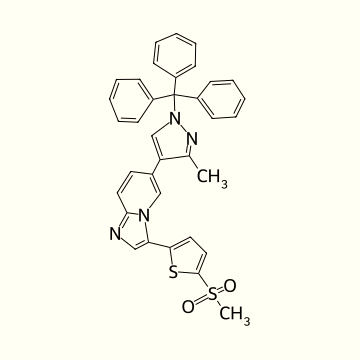 Cc1nn(C(c2ccccc2)(c2ccccc2)c2ccccc2)cc1-c1ccc2ncc(-c3ccc(S(C)(=O)=O)s3)n2c1